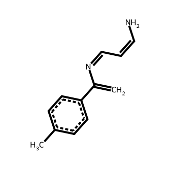 C=C(/N=C\C=C/N)c1ccc(C)cc1